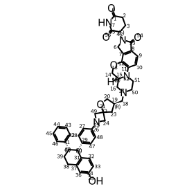 O=C1CC[C@H](N2Cc3c(ccc4c3OC[C@H]3CN(C[C@@H]5COC6(C5)CN(c5ccc([C@@H]7c8ccc(O)cc8CC[C@@H]7c7ccccc7)cc5)C6)CCN43)C2=O)C(=O)N1